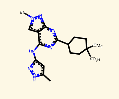 CCn1cc2c(Nc3cc(C)[nH]n3)nc(C3CCC(OC)(C(=O)O)CC3)nc2n1